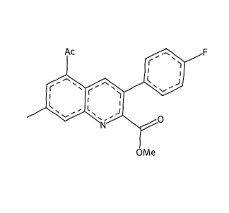 COC(=O)c1nc2cc(C)cc(C(C)=O)c2cc1-c1ccc(F)cc1